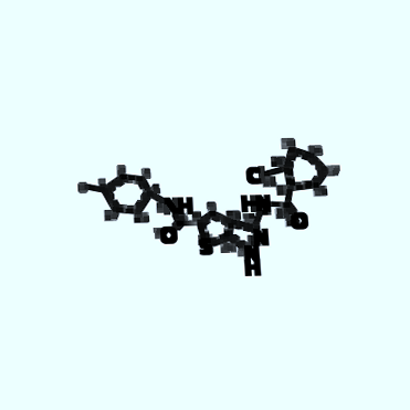 Cc1ccc(NC(=O)c2cc3c(NC(=O)c4ccccc4Cl)n[nH]c3s2)cc1